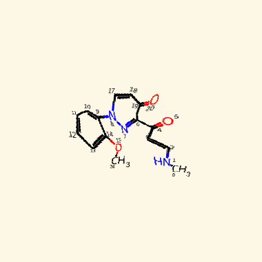 CN/C=C/C(=O)c1nn(-c2ccccc2OC)ccc1=O